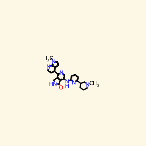 CN1CCCC(c2cccc(Nc3cnc(-c4ccnc5c4ccn5C)c4c3C(=O)NC4)n2)C1